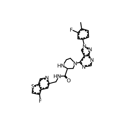 Cc1ccc(-n2cc3c(N4CCNC(C(=O)NCc5cc6c(F)csc6cn5)C4)ncnc3n2)cc1F